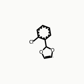 Clc1ccccc1C1O[C]=CO1